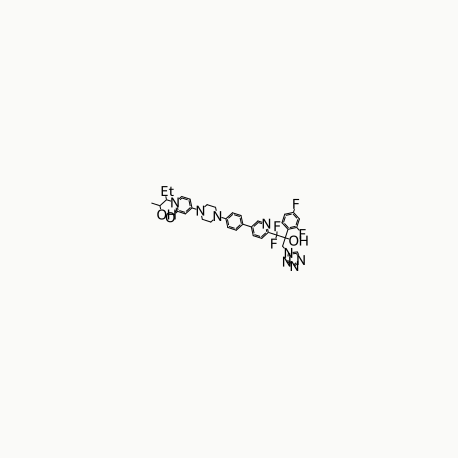 CCC(C(C)O)n1ccc(N2CCN(c3ccc(-c4ccc(C(F)(F)C(O)(Cn5cnnn5)c5ccc(F)cc5F)nc4)cc3)CC2)cc1=O